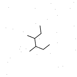 CCC(C)C(C)CC